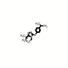 CCn1c(Oc2ccc(C(C)C)cc2)nnc1[C@@H](C)N